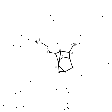 CCOC1C2CC3CC(C2)C(O)C1C3